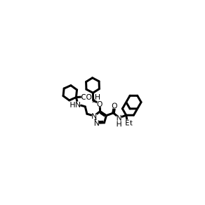 CCC1(NC(=O)c2cnn(CCNC3(C(=O)O)CCCCC3)c2OCC2CCCCC2)CC2CCCC(C2)C1